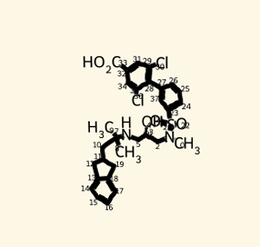 CN(C[C@H](O)CNC(C)(C)CC1Cc2ccccc2C1)S(=O)(=O)c1cccc(-c2c(Cl)cc(C(=O)O)cc2Cl)c1